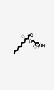 CCCCCCCC(=O)C([C]=O)OCC(O)CO